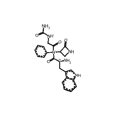 NC(=O)NCC(=O)[N+](C(=O)[C@@H](N)Cc1c[nH]c2ccccc12)(c1ccccc1)C1CNC1=O